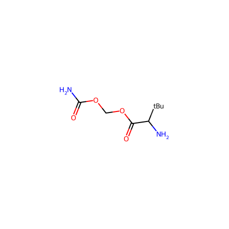 CC(C)(C)C(N)C(=O)OCOC(N)=O